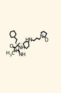 CN1C(=N)N[C@](CCC2CCCCC2)(C[C@H]2CCC[C@H](NCCCN3CCCC3=O)C2)C1=O